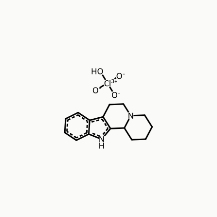 [O-][Cl+3]([O-])([O-])O.c1ccc2c3c([nH]c2c1)C1CCCCN1CC3